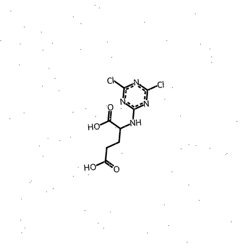 O=C(O)CCC(Nc1nc(Cl)nc(Cl)n1)C(=O)O